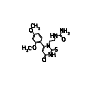 COc1ccc(-c2cc(=O)[nH]c(=S)n2CCNC(N)=O)c(OC)c1